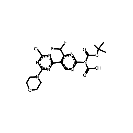 CC(C)(C)OC(=O)N(C(=O)O)c1ncc(-c2nc(Cl)nc(N3CCOCC3)n2)c(C(F)F)n1